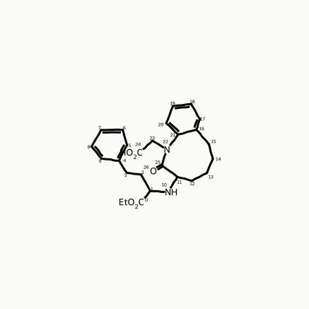 CCOC(=O)C(CCc1ccccc1)NC1CCCCc2ccccc2N(CC(=O)O)C1=O